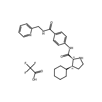 O=C(NCc1ccccn1)c1ccc(NC(=O)[C@H]2NCC[C@H]2C2CCCCC2)cc1.O=C(O)C(F)(F)F